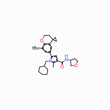 Cc1c(C(=O)N[C@H]2CCOC2)cc(-c2cc(C(C)(C)C)c3c(c2)C2(CCO3)CC2)n1CC1CCCCC1